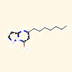 CCCCCCCc1cc(O)n2nccc2n1